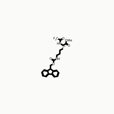 COC(=O)[C@H](CCCCNC(=O)OCC1c2ccccc2-c2ccccc21)NC(=O)C(F)(F)F